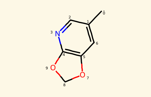 [CH2]c1cnc2c(c1)OCO2